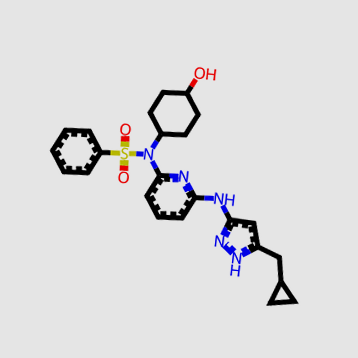 O=S(=O)(c1ccccc1)N(c1cccc(Nc2cc(CC3CC3)[nH]n2)n1)C1CCC(O)CC1